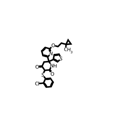 CC1(CCOc2cccc(C3(c4ccsc4)CC(=O)C(Sc4ccccc4Cl)C(=O)N3)n2)CC1